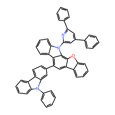 c1ccc(-c2cc(-c3ccccc3)nc(-n3c4ccccc4c4c(-c5ccc6c7ccccc7n(-c7ccccc7)c6c5)cc5c6ccccc6oc5c43)c2)cc1